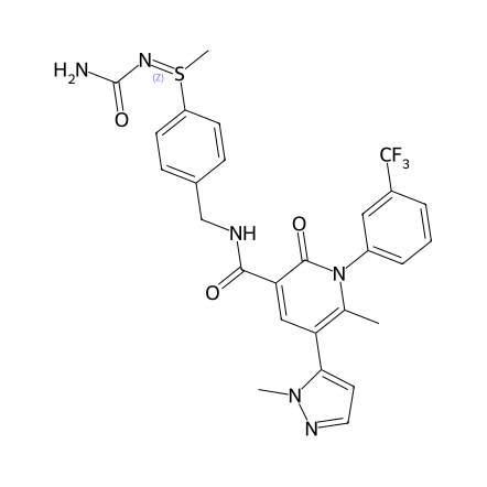 Cc1c(-c2ccnn2C)cc(C(=O)NCc2ccc(/S(C)=N\C(N)=O)cc2)c(=O)n1-c1cccc(C(F)(F)F)c1